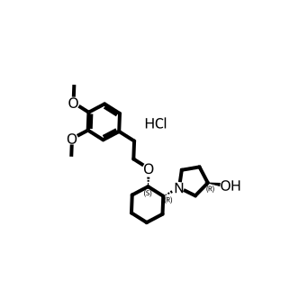 COc1ccc(CCO[C@H]2CCCC[C@H]2N2CC[C@@H](O)C2)cc1OC.Cl